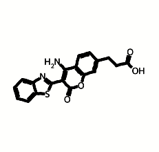 Nc1c(-c2nc3ccccc3s2)c(=O)oc2cc(CCC(=O)O)ccc12